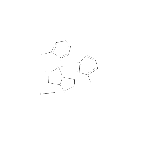 OC[C@]12CO[C@H](c3ccccc3C(F)(F)F)N1[C@H](c1ccccc1C(F)(F)F)OC2